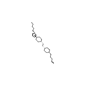 C=CCCC[C@H]1CC[C@H](CC[C@H]2CC[C@H](OCCCCCC)CC2)CC1